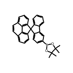 CC1(C)OB(c2ccc3c(c2)-c2ccccc2C32c3cccc4ccc5cccc2c5c34)OC1(C)C